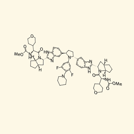 COC(=O)N[C@H](C(=O)N1[C@H](c2nc3cc([C@H]4CC[C@H](c5ccc6[nH]c([C@@H]7C[C@@H]8CCC[C@@H]8N7C(=O)[C@@H](NC(=O)OC)C7CCOCC7)nc6c5)N4c4cc(F)c(N5CCCCC5)c(F)c4)ccc3[nH]2)C[C@@H]2CCC[C@@H]21)C1CCOCC1